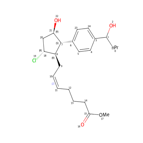 CCCC(O)c1ccc([C@@H]2[C@@H](C/C=C\CCCC(=O)OC)[C@H](Cl)C[C@H]2O)cc1